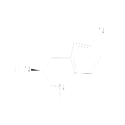 [C-]#[N+]c1ccc2c(c1)C[C@H](N)CN2